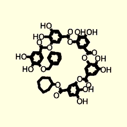 O=C(Oc1cc(C(=O)Oc2cc(C(=O)Oc3cc(C(=O)Oc4cc(C(=O)OC5CCCCCC5)cc(O)c4O)cc(O)c3O)cc(O)c2O)cc(O)c1O)c1cc(O)c(O)c(OCc2ccccc2)c1